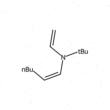 C=CN(/C=C\CCCC)C(C)(C)C